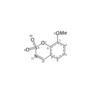 COc1cccc2c1OS(=O)(=O)N=C2